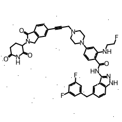 O=C1CCC(N2Cc3cc(C#CCN4CCN(c5ccc(C(=O)Nc6n[nH]c7ccc(Cc8cc(F)cc(F)c8)cc67)c(NCCF)c5)CC4)ccc3C2=O)C(=O)N1